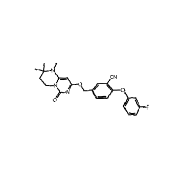 CN1c2cc(OCc3ccc(Oc4cccc(F)c4)c(C#N)c3)nc(=O)n2CCC1(C)C